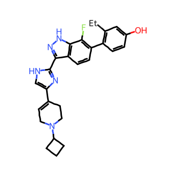 CCc1cc(O)ccc1-c1ccc2c(-c3nc(C4=CCN(C5CCC5)CC4)c[nH]3)n[nH]c2c1F